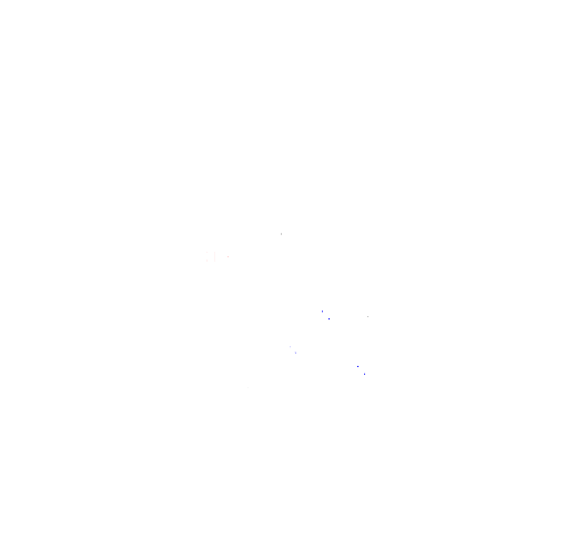 Cc1ccc(C(O)(Cn2cncn2)c2ccc(F)cc2)c(Cl)c1